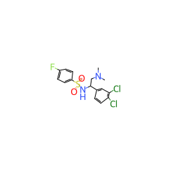 CN(C)CC(NS(=O)(=O)c1ccc(F)cc1)c1ccc(Cl)c(Cl)c1